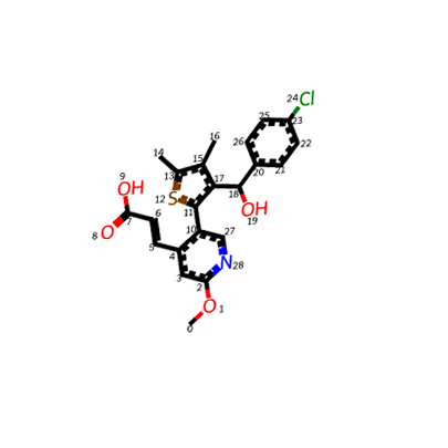 COc1cc(C=CC(=O)O)c(-c2sc(C)c(C)c2C(O)c2ccc(Cl)cc2)cn1